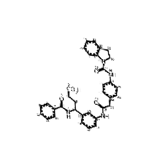 O=C(O)CCC(NC(=O)c1ccccc1)c1cccc(NC(=O)Cc2ccc(NC(=O)N3CCc4ccccc43)cc2)c1